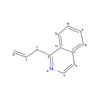 C=C[CH]c1nccc2ccccc12